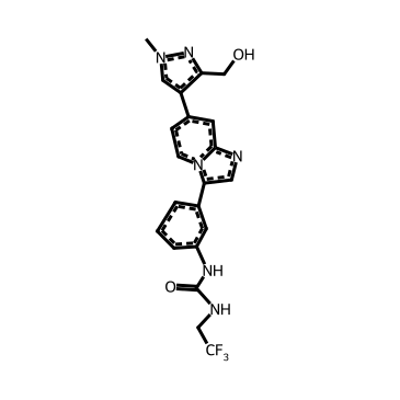 Cn1cc(-c2ccn3c(-c4cccc(NC(=O)NCC(F)(F)F)c4)cnc3c2)c(CO)n1